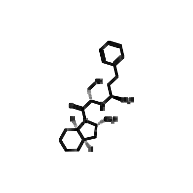 O=C(O)[C@H](CCc1ccccc1)N[C@@H](CS)C(=O)N1[C@@H]2CCCC[C@@H]2C[C@H]1C(=O)O